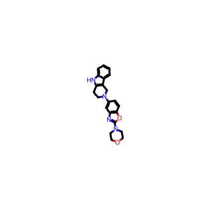 c1ccc2c3c([nH]c2c1)CCN(c1ccc2oc(N4CCOCC4)nc2c1)C3